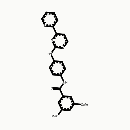 COc1cc(OC)cc(C(=O)Nc2ccc(Nc3nccc(-c4ccccn4)n3)cc2)c1